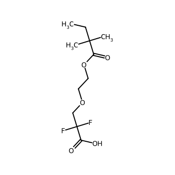 CCC(C)(C)C(=O)OCCOCC(F)(F)C(=O)O